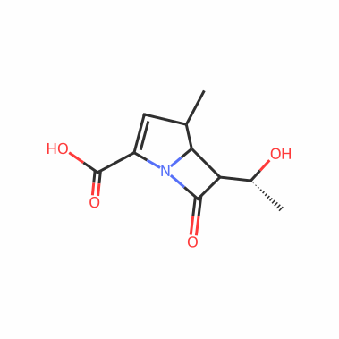 CC1C=C(C(=O)O)N2C(=O)C([C@@H](C)O)C12